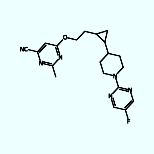 Cc1nc(C#N)cc(OCCC2CC2C2CCN(c3ncc(F)cn3)CC2)n1